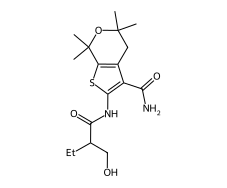 CCC(CO)C(=O)Nc1sc2c(c1C(N)=O)CC(C)(C)OC2(C)C